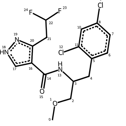 COCC(Cc1ccc(Cl)cc1Cl)NC(=O)c1c[nH]nc1CC(F)F